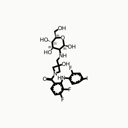 O=C(c1ccc(F)c(F)c1Nc1ccc(I)cc1F)N1CC(O)(CNC2[C@H](O)O[C@H](CO)[C@@H](O)[C@@H]2O)C1